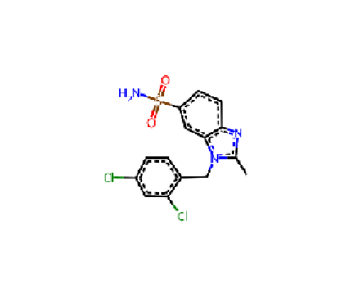 Cc1nc2ccc(S(N)(=O)=O)cc2n1Cc1ccc(Cl)cc1Cl